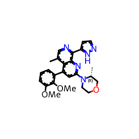 COc1cccc(-c2cc(N3CCOC[C@H]3C)nc3c(-c4ccn[nH]4)ncc(C)c23)c1OC